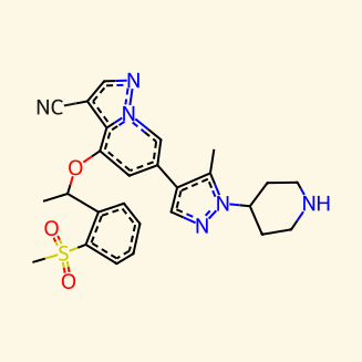 Cc1c(-c2cc(OC(C)c3ccccc3S(C)(=O)=O)c3c(C#N)cnn3c2)cnn1C1CCNCC1